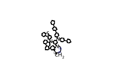 C=C1/C=C\C=C/CN(c2cc(N(c3ccc(-c4ccccc4)cc3)c3ccc(-c4ccc(-c5ccccc5)cc4)cc3)cc(N(c3ccc4sc5ccccc5c4c3)c3cc4ccccc4c4ccccc34)c2)c2ccccc2S1